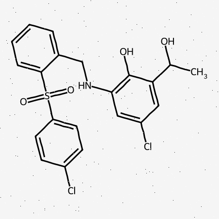 CC(O)c1cc(Cl)cc(NCc2ccccc2S(=O)(=O)c2ccc(Cl)cc2)c1O